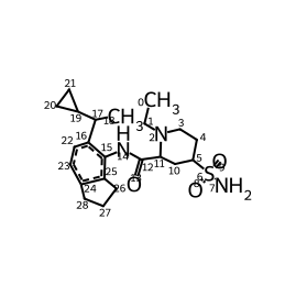 CCN1CCC(S(N)(=O)=O)CC1C(=O)Nc1c(C(C)C2CC2)ccc2c1CCC2